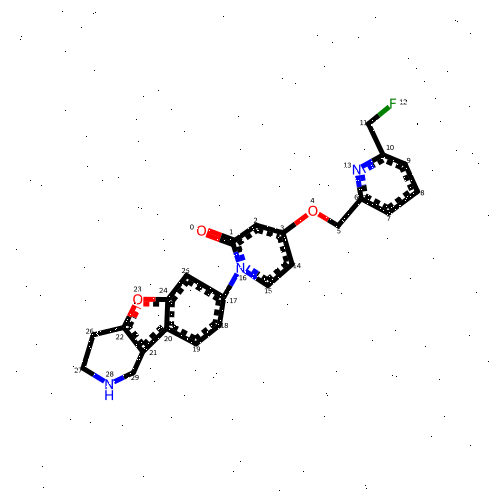 O=c1cc(OCc2cccc(CF)n2)ccn1-c1ccc2c3c(oc2c1)CCNC3